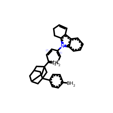 Bc1ccc(C23CC4CC(CC(C(=C)/C=C\C(=C/C)n5c6c(c7ccccc75)C=CCC6)(C4)C2)C3)cc1